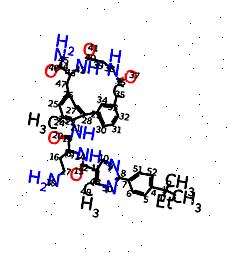 CCC(C)(C)c1ccc(-c2ncc(C(=O)N[C@@H](CCN)C(=O)Nc3c(C)cc4cc3-c3cccc(c3)CC(=O)NCC(=O)NC(C(N)=O)C4)c(C)n2)cc1